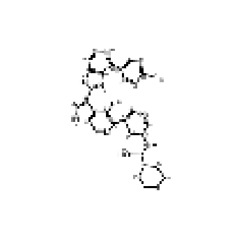 OC(Nc1cncc(-c2ncc3[nH]nc(-c4nc5c(-c6ccc(F)cc6)nccc5[nH]4)c3c2F)c1)C1CCCCC1